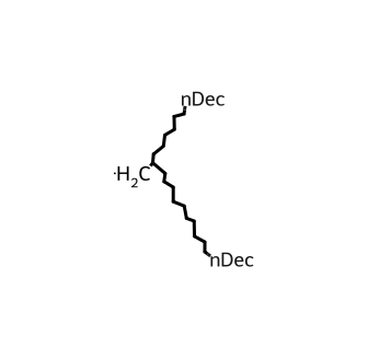 [CH2]C(CCCCCCCCCCCCCCCC)CCCCCCCCCCCCCCCCCCCC